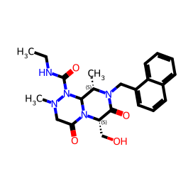 CCNC(=O)N1C2[C@H](C)N(Cc3cccc4ccccc34)C(=O)[C@H](CO)N2C(=O)CN1C